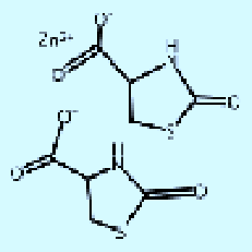 O=C1NC(C(=O)[O-])CS1.O=C1NC(C(=O)[O-])CS1.[Zn+2]